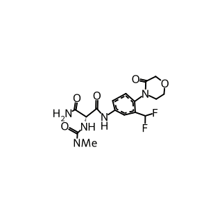 CNC(=O)N[C@H](C(N)=O)C(=O)Nc1ccc(N2CCOCC2=O)c(C(F)F)c1